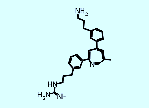 CC1=C=C(c2cccc(CCCN)c2)C=C(c2cccc(CCCNC(=N)N)c2)N=C1